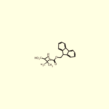 CC1(C)C(C(=O)O)NN1C(=O)OCC1c2ccccc2-c2ccccc21